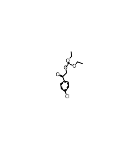 CCOP(OCC)OCC(=O)c1ccc(Cl)cc1